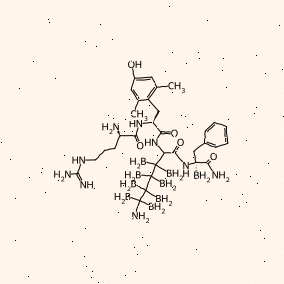 BC(B)(N)C(B)(B)C(B)(B)C(B)(B)C(NC(=O)[C@H](Cc1c(C)cc(O)cc1C)NC(=O)[C@H](N)CCCNC(=N)N)C(=O)N[C@@](B)(Cc1ccccc1)C(N)=O